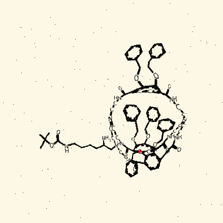 CC(C)(C)OC(=O)NCCCCC(N)CN1CCNC(=O)c2ccc(c(OCc3ccccc3)c2OCc2ccccc2)C(=O)NCCN2CCNC(=O)c3ccc(c(OCc4ccccc4)c3OCc3ccccc3)C(=O)NCCN(CCNC(=O)c3ccc(c(OCc4ccccc4)c3OCc3ccccc3)C(=O)NCC2)CC1